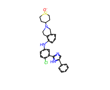 [O-][S+]1CCC(N2CCc3c(cccc3Nc3ccc(Cl)c(-c4ncc(-c5ccccc5)[nH]4)c3)C2)CC1